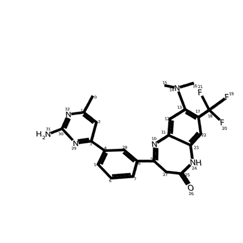 Cc1cc(-c2cccc(C3=Nc4cc(N(C)C)c(C(F)(F)F)cc4NC(=O)C3)c2)nc(N)n1